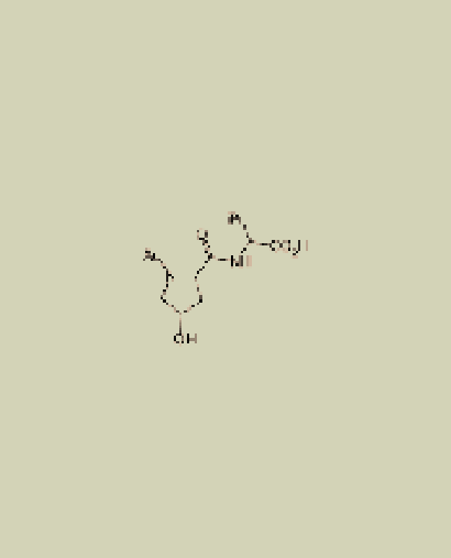 CC(=O)N1CC(O)CC1C(=O)NC(C(=O)O)C(C)C